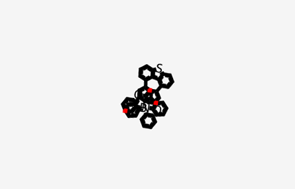 c1ccc2c(c1)Oc1cc(-c3cccc4sc5cccc(-c6cc7c8ccccc8n8c9ccccc9c(c6)c78)c5c34)cc3c1B2c1ccccc1O3